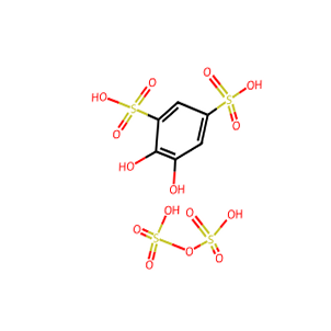 O=S(=O)(O)OS(=O)(=O)O.O=S(=O)(O)c1cc(O)c(O)c(S(=O)(=O)O)c1